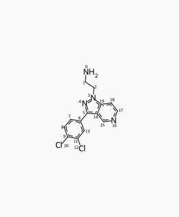 NCCn1nc(-c2ccc(Cl)c(Cl)c2)c2cnccc21